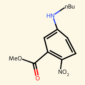 CCCCNc1ccc([N+](=O)[O-])c(C(=O)OC)c1